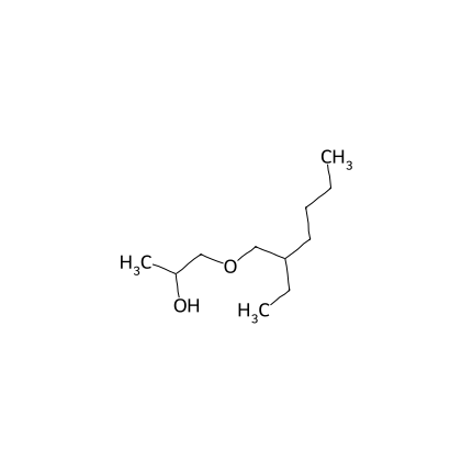 CCCCC(CC)COCC(C)O